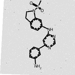 CS(=O)(=O)N1CCc2ccc(Nc3cc(-c4cccc(N)c4)ncn3)cc21